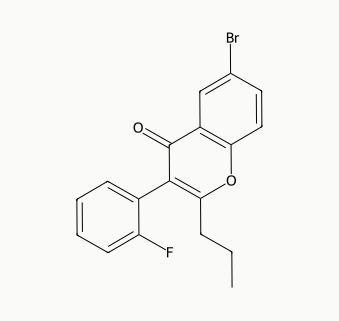 CCCc1oc2ccc(Br)cc2c(=O)c1-c1ccccc1F